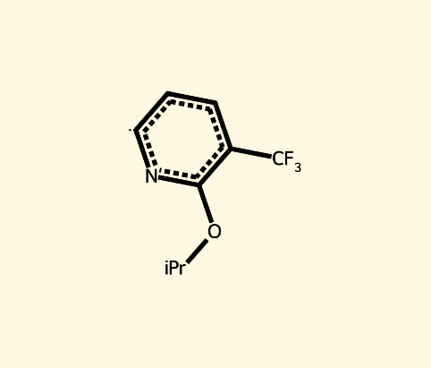 CC(C)Oc1n[c]ccc1C(F)(F)F